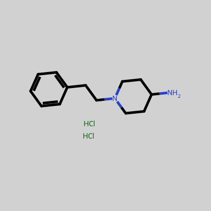 Cl.Cl.NC1CCN(CCc2ccccc2)CC1